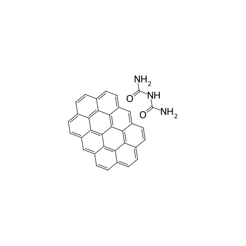 NC(=O)NC(N)=O.c1cc2ccc3cc4ccc5ccc6ccc7cc8ccc1c1c2c3c2c4c5c6c7c2c81